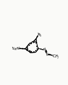 C/N=N/c1ccc(NC)c[c]1[Rb]